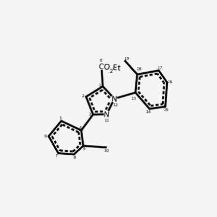 CCOC(=O)c1cc(-c2ccccc2C)nn1-c1ccccc1C